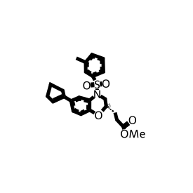 COC(=O)CC[C@H]1CN(S(=O)(=O)c2cccc(C)c2)c2cc(C3=CCCC3)ccc2O1